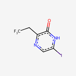 O=c1[nH]c(I)cnc1CC(F)(F)F